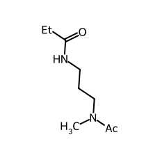 CCC(=O)NCCCN(C)C(C)=O